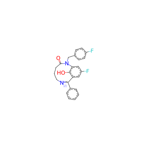 O=C1CCC/N=C(/c2ccccc2)c2cc(F)cc(c2O)N1Cc1ccc(F)cc1